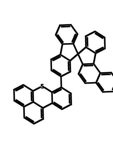 c1ccc2c(c1)-c1ccc(-c3cccc4c3Sc3cccc5cccc-4c35)cc1C21c2ccccc2-c2c1ccc1ccccc21